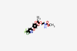 COC(=O)NCCOC(=O)C(C)Oc1ccc(Oc2ccc(C(F)(F)Cl)cn2)cc1